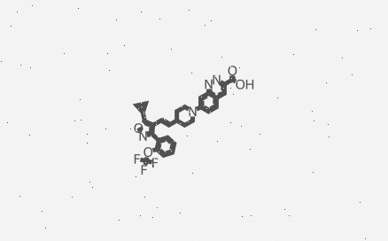 O=C(O)c1cc2ccc(N3CCC(C=Cc4c(-c5ccccc5OC(F)(F)F)noc4C4CC4)CC3)cc2nn1